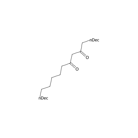 CCCCCCCCCCCCCCCC(=O)CC(=O)CCCCCCCCCCC